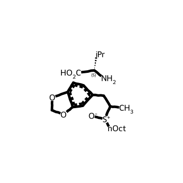 CC(C)[C@H](N)C(=O)O.CCCCCCCC[S+]([O-])C(C)Cc1ccc2c(c1)OCO2